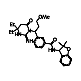 CCC1(CC)CC(=O)N(C(CCOC)c2cccc(C(=O)NC3c4ccccc4OC3(C)C)c2)C(=N)N1